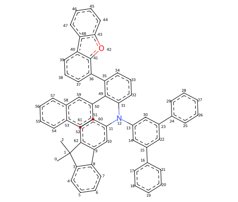 CC1(C)c2ccccc2-c2cc(N(c3cc(-c4ccccc4)cc(-c4ccccc4)c3)c3cccc(-c4cccc5c4oc4ccccc45)c3-c3ccc4ccccc4c3)ccc21